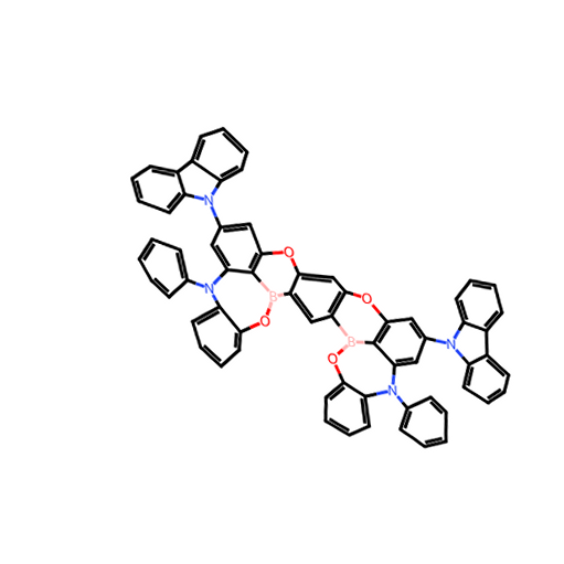 c1ccc(N2c3ccccc3OB3c4cc5c(cc4Oc4cc(-n6c7ccccc7c7ccccc76)cc2c43)Oc2cc(-n3c4ccccc4c4ccccc43)cc3c2B5Oc2ccccc2N3c2ccccc2)cc1